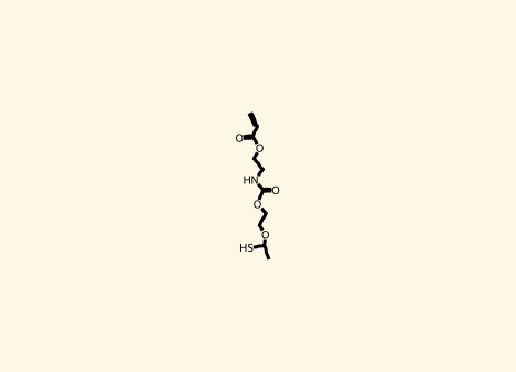 C=CC(=O)OCCNC(=O)OCCOC(C)S